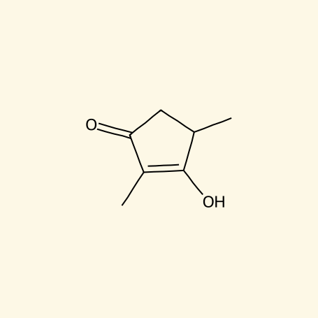 CC1=C(O)C(C)CC1=O